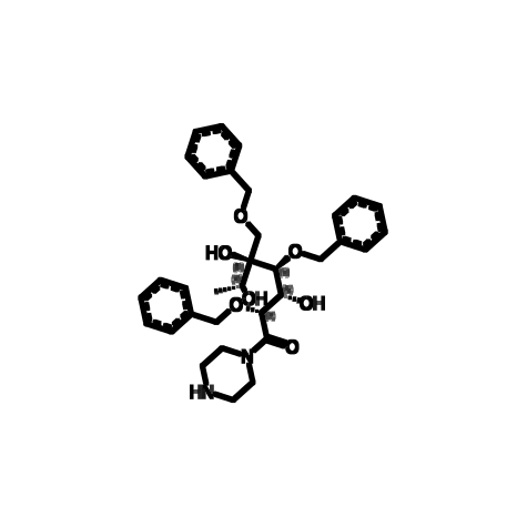 C[C@@H](O)[C@](O)(COCc1ccccc1)[C@@H](OCc1ccccc1)[C@H](O)[C@@H](OCc1ccccc1)C(=O)N1CCNCC1